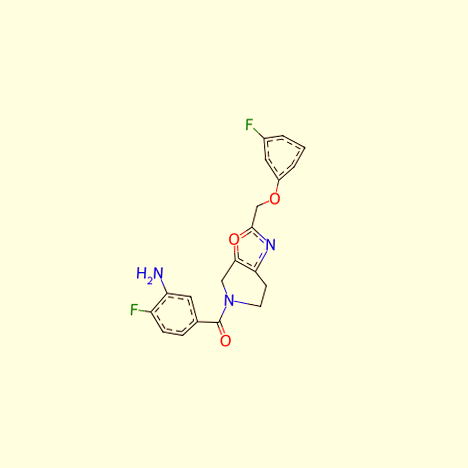 Nc1cc(C(=O)N2CCc3nc(COc4cccc(F)c4)oc3C2)ccc1F